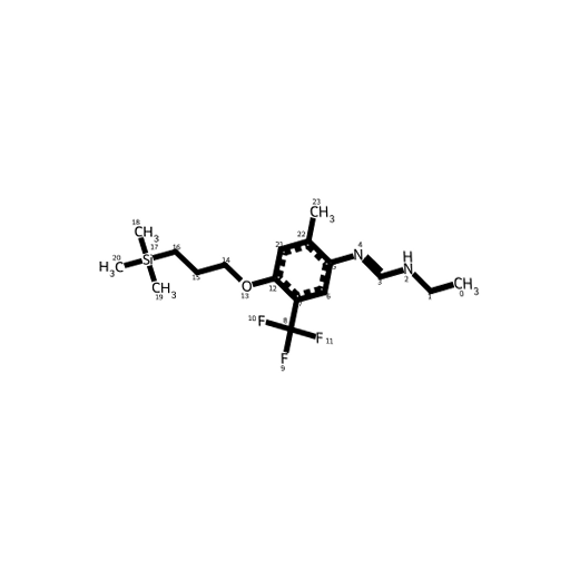 CCNC=Nc1cc(C(F)(F)F)c(OCCC[Si](C)(C)C)cc1C